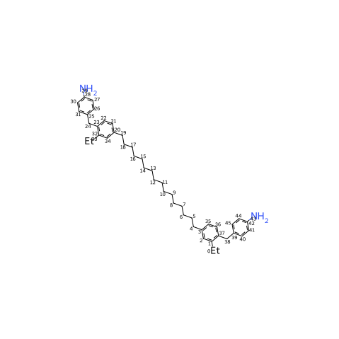 CCc1cc(CCCCCCCCCCCCCCCCc2ccc(Cc3ccc(N)cc3)c(CC)c2)ccc1Cc1ccc(N)cc1